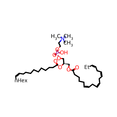 CC/C=C\C/C=C\C/C=C\C/C=C\CCCCC(=O)OC[C@H](COP(=O)(O)OCC[N+](C)(C)C)OC(=O)CCCCCCCCC/C=C\CCCCCC